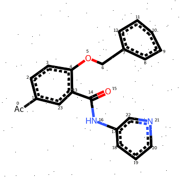 CC(=O)c1ccc(OCc2ccccc2)c(C(=O)Nc2cccnc2)c1